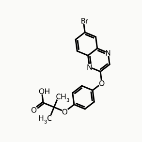 CC(C)(Oc1ccc(Oc2cnc3cc(Br)ccc3n2)cc1)C(=O)O